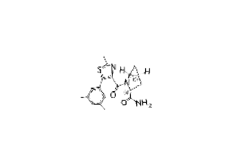 Cc1cc(C)cc(-c2sc(C)nc2C(=O)N2[C@H](C(N)=O)C[C@@H]3C[C@@H]32)c1